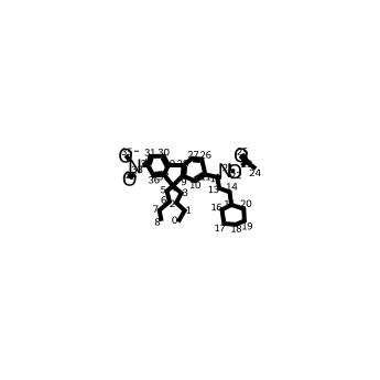 CCCCC1(CCCC)c2cc(C(CCC3CCCCC3)=NOC(C)=O)ccc2-c2ccc([N+](=O)[O-])cc21